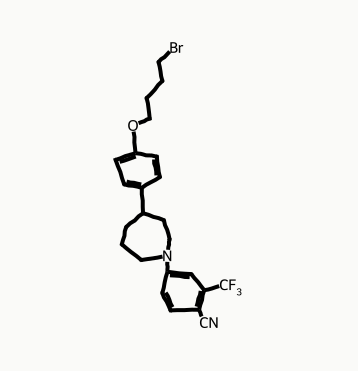 N#Cc1ccc(N2CCCC(c3ccc(OCCCCBr)cc3)CC2)cc1C(F)(F)F